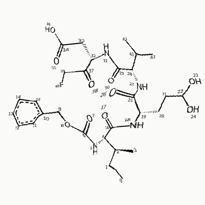 CC[C@H](C)[C@H](NC(=O)OCc1ccccc1)C(=O)N[C@@H](CCC(O)O)C(=O)N[C@H](C(=O)N[C@@H](CC(=O)O)C(=O)CF)C(C)C